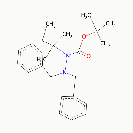 CCC(C)(C)N(C(=O)OC(C)(C)C)N(Cc1ccccc1)Cc1ccccc1